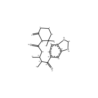 C=C1CCCC(C)(C)C1C(=O)CC(C)C(C)C(=O)c1ccc2c(c1)OCO2